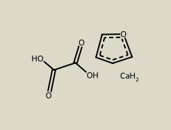 O=C(O)C(=O)O.[CaH2].c1ccoc1